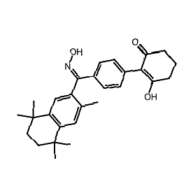 Cc1cc2c(cc1/C(=N/O)c1ccc(C3=C(O)CCCC3=O)cc1)C(C)(C)CCC2(C)C